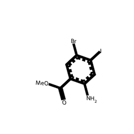 COC(=O)c1cc(Br)c(I)cc1N